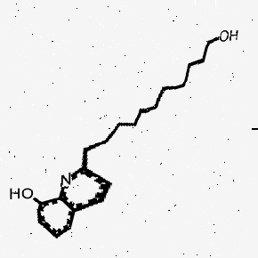 OCCCCCCCCCCCc1ccc2cccc(O)c2n1